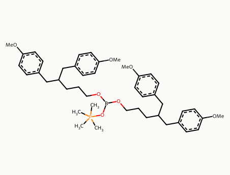 COc1ccc(CC(CCCOB(OCCCC(Cc2ccc(OC)cc2)Cc2ccc(OC)cc2)OP(C)(C)(C)C)Cc2ccc(OC)cc2)cc1